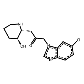 O=C(C[C@H]1NCCC[C@@H]1O)Cn1cnc2ccc(Cl)cc21